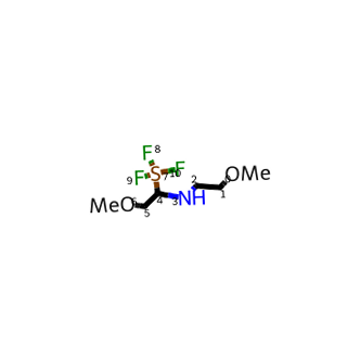 COCCNC(COC)S(F)(F)F